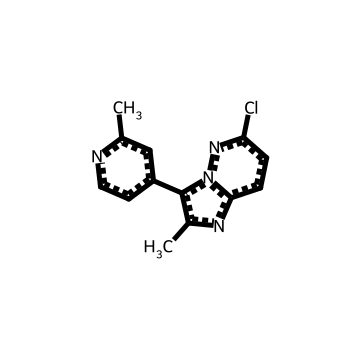 Cc1cc(-c2c(C)nc3ccc(Cl)nn23)ccn1